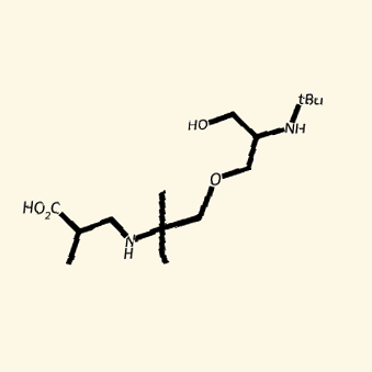 CC(CNC(C)(C)COCC(CO)NC(C)(C)C)C(=O)O